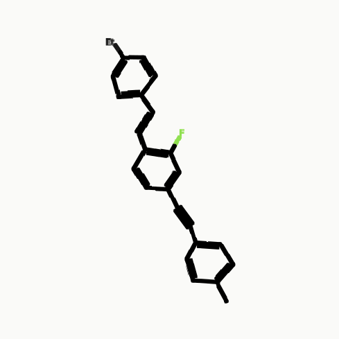 CCc1ccc(C=Cc2ccc(C#Cc3ccc(C)cc3)cc2F)cc1